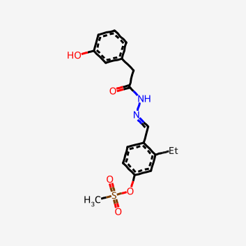 CCc1cc(OS(C)(=O)=O)ccc1/C=N/NC(=O)Cc1cccc(O)c1